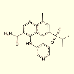 Cc1cc(S(=O)(=O)C(C)C)cc2c(Nc3cccnc3)c(C(N)=O)cnc12